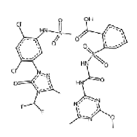 COc1nc(C)nc(NC(=O)NS(=O)(=O)c2ccccc2C(=O)O)n1.Cc1nn(-c2cc(NS(C)(=O)=O)c(Cl)cc2Cl)c(=O)n1C(F)F